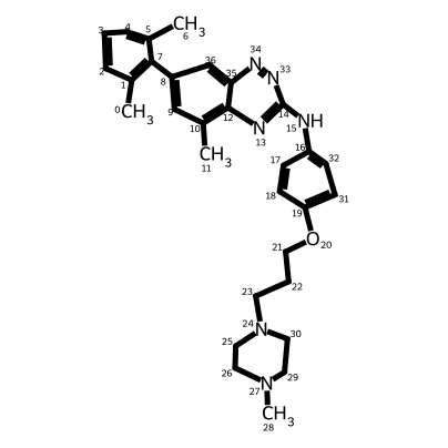 Cc1cccc(C)c1-c1cc(C)c2nc(Nc3ccc(OCCCN4CCN(C)CC4)cc3)nnc2c1